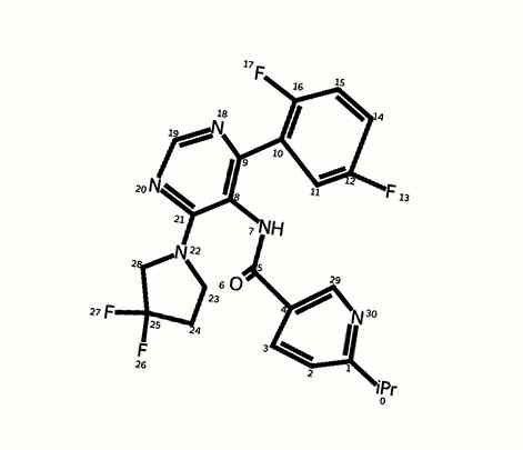 CC(C)c1ccc(C(=O)Nc2c(-c3cc(F)ccc3F)ncnc2N2CCC(F)(F)C2)cn1